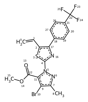 C=Cc1sc(-n2nc(C)c(Br)c2C(=O)OC)nc1-c1ccc(C(F)(F)F)cc1